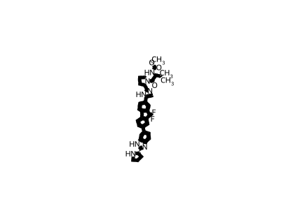 COC(=O)N[C@H](C(=O)N1CCCC1c1ncc(-c2ccc3c(c2)C(F)(F)c2cc(-c4ccc5nc([C@@H]6CCCN6)[nH]c5c4)ccc2-3)[nH]1)C(C)C